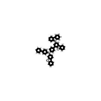 c1ccc(-c2ccc(N(c3ccc(-c4cc(-n5c6ccccc6c6ccccc65)cc5c4oc4ccccc45)cc3)c3ccc4c(c3)oc3ccccc34)cc2)cc1